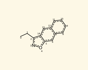 CCc1noc2cc3ccccc3cc12